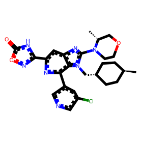 C[C@@H]1COCCN1c1nc2cc(-c3noc(=O)[nH]3)nc(-c3cncc(Cl)c3)c2n1C[C@H]1CC[C@H](C)CC1